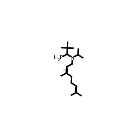 CC(C)=CCC/C(C)=C\CN(C(C)C)C(P)C(C)(C)C